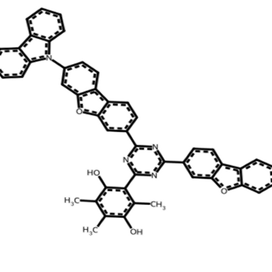 Cc1c(C)c(O)c(-c2nc(-c3ccc4c(c3)oc3ccccc34)nc(-c3ccc4c(c3)oc3cc(-n5c6ccccc6c6ccccc65)ccc34)n2)c(C)c1O